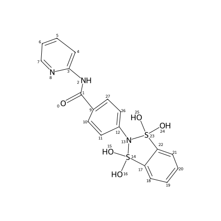 O=C(Nc1ccccn1)c1ccc(N2S(O)(O)c3ccccc3S2(O)O)cc1